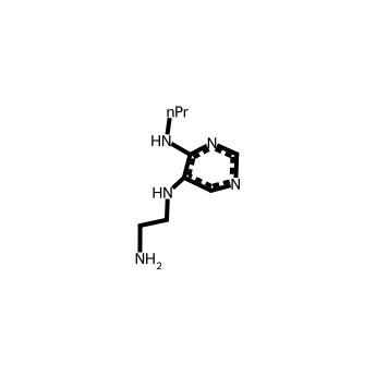 CCCNc1ncncc1NCCN